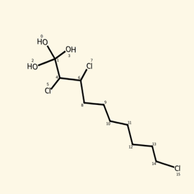 OC(O)(O)C(Cl)C(Cl)CCCCCCCCl